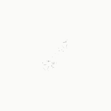 Cc1cc(F)c2nc(SCCCC(=O)Nc3ccc(F)cc3)[nH]c(=O)c2c1